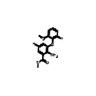 COC(=O)c1cc(F)cc(Oc2c(F)cccc2OC)c1N